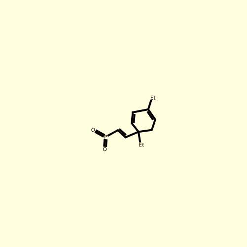 CCC1=CCC(C=CP(=O)=O)(CC)C=C1